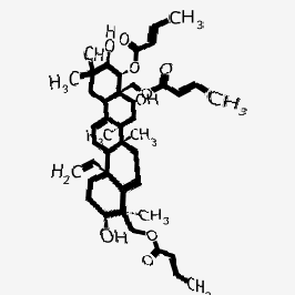 C=C[C@]12CC[C@H](O)[C@](C)(COC(=O)/C=C/C)C1CC[C@]1(C)C2CC=C2C3CC(C)(C)[C@@H](O)[C@H](OC(=O)/C=C/C)[C@]3(COC(=O)/C=C/C)[C@H](O)C[C@]21C